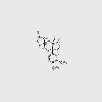 COc1ccc([C@]23CCN(C)[C@H]2CC2(CC3)OCC(C)O2)cc1OC